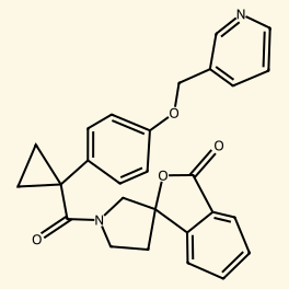 O=C1OC2(CCN(C(=O)C3(c4ccc(OCc5cccnc5)cc4)CC3)C2)c2ccccc21